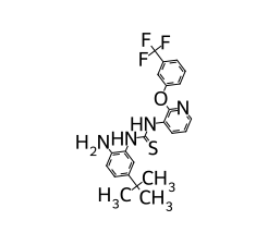 CC(C)(C)c1ccc(N)c(NC(=S)Nc2cccnc2Oc2cccc(C(F)(F)F)c2)c1